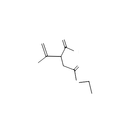 C=C(C)C(CC(=O)OCC)C(=O)O